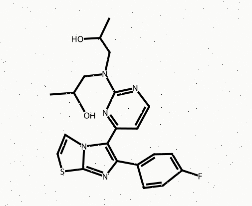 CC(O)CN(CC(C)O)c1nccc(-c2c(-c3ccc(F)cc3)nc3sccn23)n1